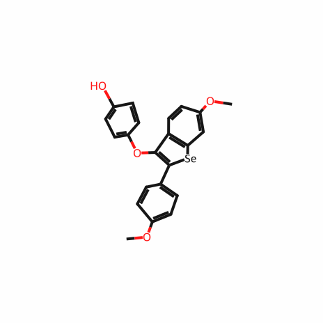 COc1ccc(-c2[se]c3cc(OC)ccc3c2Oc2ccc(O)cc2)cc1